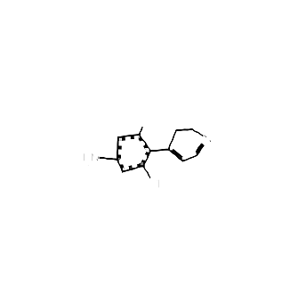 Nc1cc(Cl)c(C2=CC=NCC2)c(Cl)c1